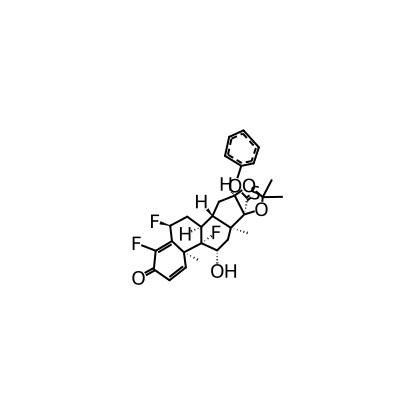 CC1(C)O[C@@H]2C[C@H]3[C@@H]4C[C@H](F)C5=C(F)C(=O)C=C[C@]5(C)[C@]4(F)[C@@H](O)C[C@]3(C)[C@]2(C(=S)Oc2ccccc2)O1